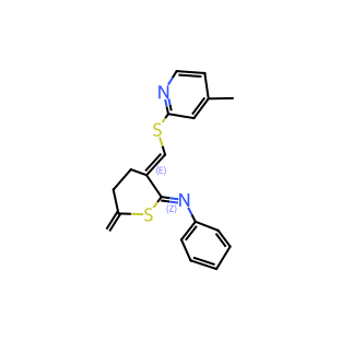 C=C1CCC(=C\Sc2cc(C)ccn2)/C(=N/c2ccccc2)S1